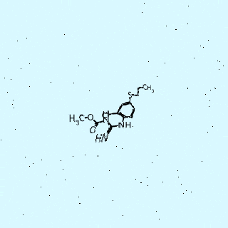 CCCSc1ccc(NC(=N)NC(=O)OC)c(Cl)c1